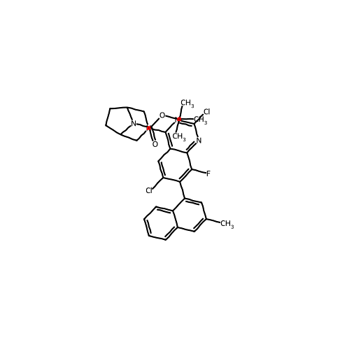 Cc1cc(-c2c(Cl)cc3c(N4CC5CCC(C4)N5C(=O)OC(C)(C)C)nc(Cl)nc3c2F)c2ccccc2c1